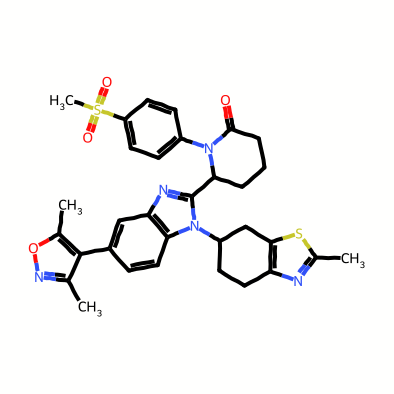 Cc1nc2c(s1)CC(n1c(C3CCCC(=O)N3c3ccc(S(C)(=O)=O)cc3)nc3cc(-c4c(C)noc4C)ccc31)CC2